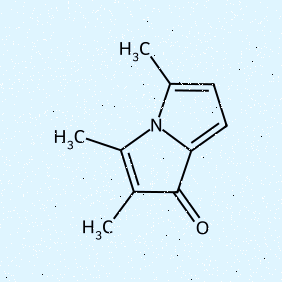 CC1=C(C)n2c(C)ccc2C1=O